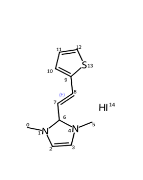 CN1C=CN(C)C1/C=C/c1cccs1.I